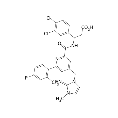 Cn1ccn(Cc2cc(C(=O)NC(CC(=O)O)c3ccc(Cl)c(Cl)c3)nc(-c3ccc(F)cc3C(F)(F)F)c2)c1=N